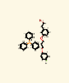 Fc1ccc(OCCCOc2cccc(CCBr)c2)cc1.c1ccc(P(c2ccccc2)c2ccccc2)cc1